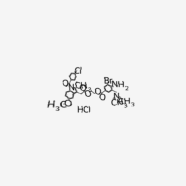 CCN(CC)Cc1cc(C(=O)OCCOC(=O)Cc2c(C)n(C(=O)c3ccc(Cl)cc3)c3ccc(OC)cc23)cc(Br)c1N.Cl